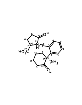 N[C@@]1(c2ccccc2Cl)CCCCC1=O.O=C1CC[C@@H](C(=O)O)N1